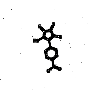 O=[N+]([O-])c1ccc(-c2c(S)c(=S)c(=S)c2=S)cc1